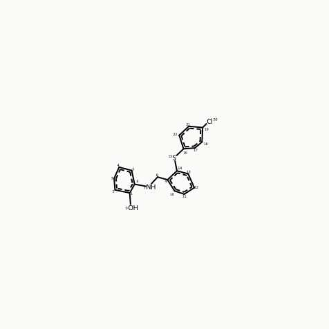 Oc1ccccc1NCc1ccccc1Sc1ccc(Cl)cc1